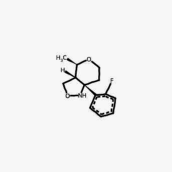 C[C@H]1OCC[C@]2(c3ccccc3F)NOC[C@H]12